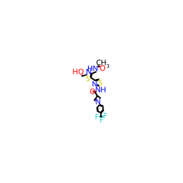 CC(=O)NCc1nc(CO)sc1-c1csc(NC(=O)C2CN(c3ccc(C(F)(F)F)cc3)C2)n1